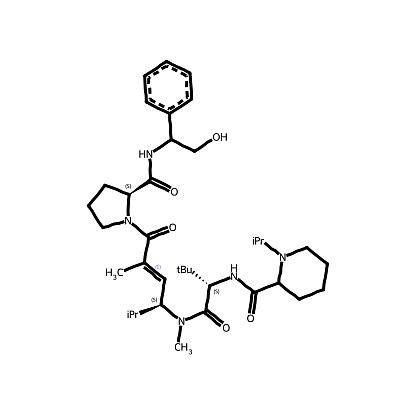 C/C(=C\[C@H](C(C)C)N(C)C(=O)[C@@H](NC(=O)C1CCCCN1C(C)C)C(C)(C)C)C(=O)N1CCC[C@H]1C(=O)NC(CO)c1ccccc1